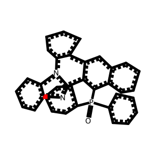 O=P(c1ccccc1)(c1ccccc1)c1c2ccccc2cc2c3ccccc3n3c4ccccc4nc3c12